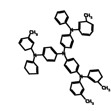 CC1=CC(N(C2=CCCC=C2)c2ccc(N(c3ccc(N(C4=CC(C)C=CC=C4)c4ccccc4)cc3)c3ccc(N(C4=CC(C)CC=C4)c4cccc(C)c4)cc3)cc2)CC=C1